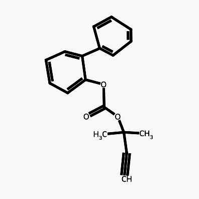 C#CC(C)(C)OC(=O)Oc1ccccc1-c1ccccc1